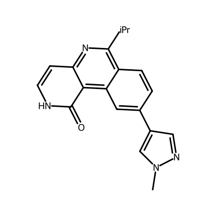 CC(C)c1nc2cc[nH]c(=O)c2c2cc(-c3cnn(C)c3)ccc12